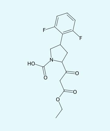 CCOC(=O)CC(=O)C1CC(c2c(F)cccc2F)CN1C(=O)O